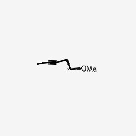 CC#CC[CH]OC